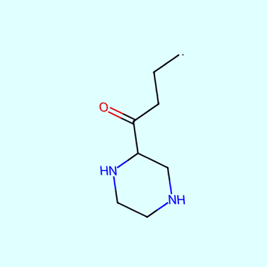 [CH2]CCC(=O)C1CNCCN1